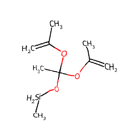 C=C(C)OC(C)(O[SiH2]C)OC(=C)C